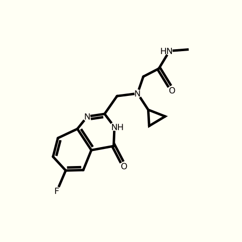 CNC(=O)CN(Cc1nc2ccc(F)cc2c(=O)[nH]1)C1CC1